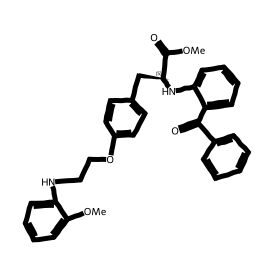 COC(=O)[C@H](Cc1ccc(OCCNc2ccccc2OC)cc1)Nc1ccccc1C(=O)c1ccccc1